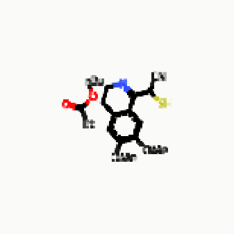 CCCCOC(=O)CC.COc1cc2c(cc1OC)C(C(S)C#N)=NCC2